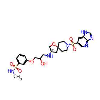 CNS(=O)(=O)c1cccc(OCC(O)CN[C@H]2COC3(CCN(S(=O)(=O)c4cnc5nc[nH]c5c4)CC3)C2)c1